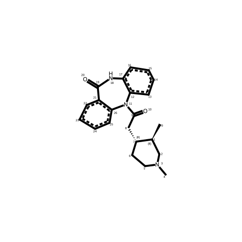 C[C@H]1CN(C)CC[C@@H]1CC(=O)N1c2ccccc2NC(=O)c2ccccc21